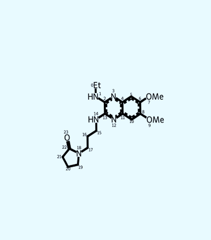 CCNc1nc2cc(OC)c(OC)cc2nc1NCCCN1CCCC1=O